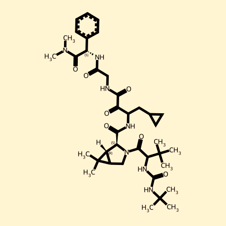 CN(C)C(=O)[C@@H](NC(=O)CNC(=O)C(=O)C(CC1CC1)NC(=O)[C@@H]1[C@@H]2C(CN1C(=O)C(NC(=O)NC(C)(C)C)C(C)(C)C)C2(C)C)c1ccccc1